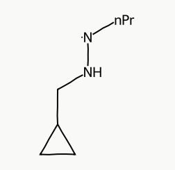 CCC[N]NCC1CC1